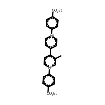 CCOC(=O)c1ccc(-[n+]2ccc(-c3cc[n+](-c4ccc(C(=O)OCC)cc4)cc3C)cc2)cc1